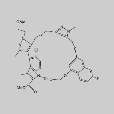 COCCn1nc(C)c2c1CSCc1cc(n(C)n1)CCc1cc(c3ccc(F)cc3c1)OCCCn1c(C(=O)OC)c(C)c3c-2c(Cl)ccc31